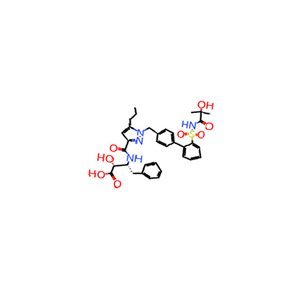 CCCc1cc(C(=O)N[C@H](Cc2ccccc2)[C@@H](O)C(=O)O)nn1Cc1ccc(-c2ccccc2S(=O)(=O)NC(=O)C(C)(C)O)cc1